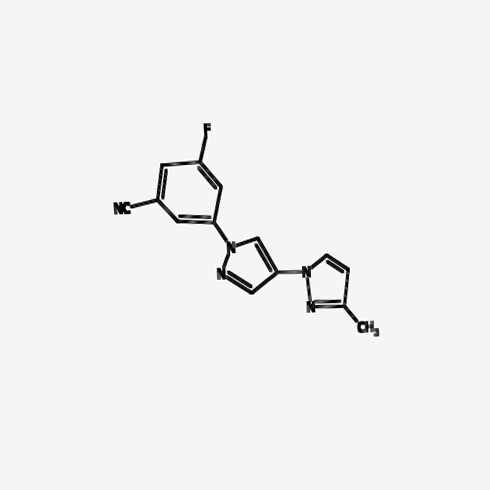 Cc1ccn(-c2cnn(-c3cc(F)cc(C#N)c3)c2)n1